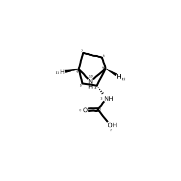 O=C(O)N[C@@H]1C[C@@H]2CC[C@H]1N2